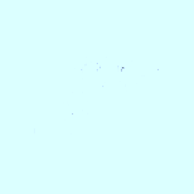 CC1C[C@@H]1c1ccc(-c2ncn(C)c2Sc2ccc(Cl)cn2)cc1